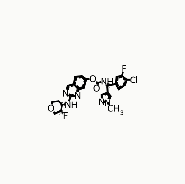 Cn1cc([C@@H](NC(=O)Oc2ccc3cnc(N[C@@H]4CCOC[C@@H]4F)nc3c2)c2ccc(Cl)c(F)c2)cn1